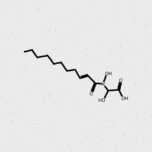 CCCCCCCCC=CC(=O)N(O)C(O)C(=O)O